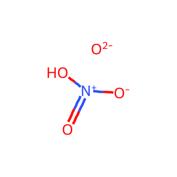 O=[N+]([O-])O.[O-2]